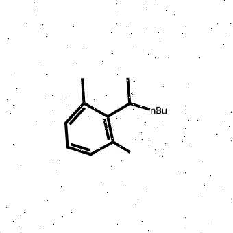 CC[CH]CC(C)c1c(C)cccc1C